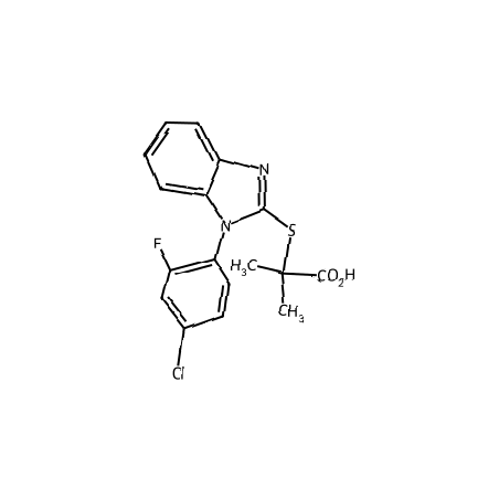 CC(C)(Sc1nc2ccccc2n1-c1ccc(Cl)cc1F)C(=O)O